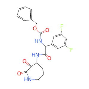 O=C(NC(C(=O)NC1CCCNC(=O)C1=O)c1cc(F)cc(F)c1)OCc1ccccc1